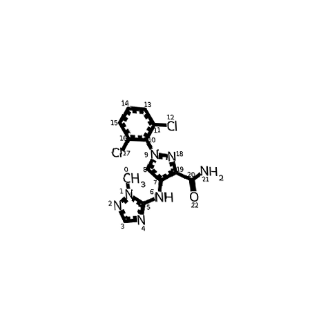 Cn1ncnc1Nc1cn(-c2c(Cl)cccc2Cl)nc1C(N)=O